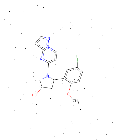 COc1ccc(F)cc1C1CC(O)CN1c1ccn2nccc2n1